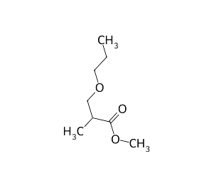 CCCOCC(C)C(=O)OC